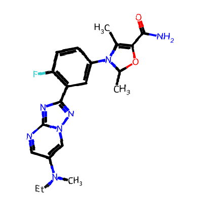 CCN(C)c1cnc2nc(-c3cc(N4C(C)=C(C(N)=O)OC4C)ccc3F)nn2c1